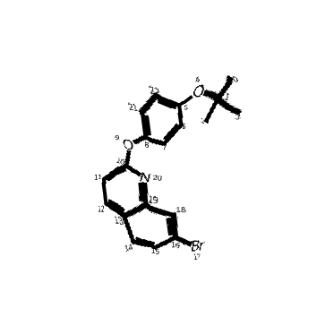 CC(C)(C)Oc1ccc(Oc2ccc3ccc(Br)cc3n2)cc1